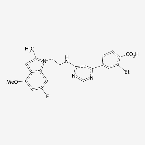 CCc1cc(-c2cc(NCCn3c(C)cc4c(OC)cc(F)cc43)ncn2)ccc1C(=O)O